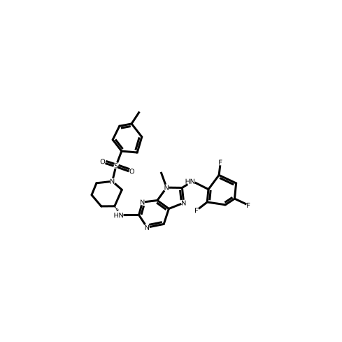 Cc1ccc(S(=O)(=O)N2CCC[C@@H](Nc3ncc4nc(Nc5c(F)cc(F)cc5F)n(C)c4n3)C2)cc1